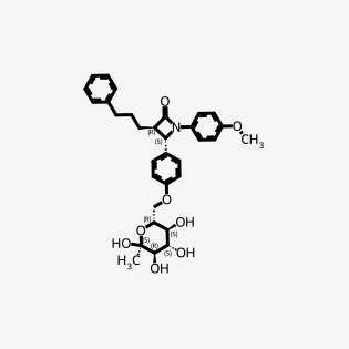 COc1ccc(N2C(=O)[C@H](CCCc3ccccc3)[C@H]2c2ccc(OC[C@H]3O[C@](C)(O)[C@H](O)[C@@H](O)[C@@H]3O)cc2)cc1